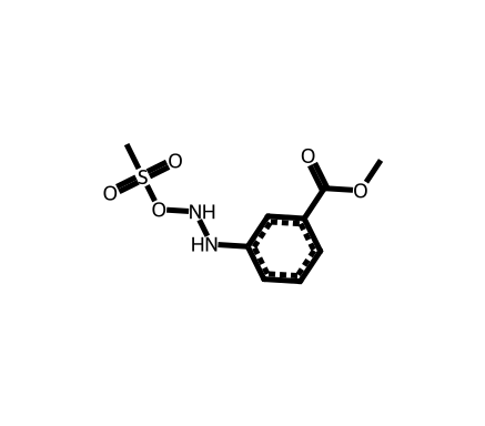 COC(=O)c1cccc(NNOS(C)(=O)=O)c1